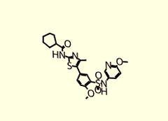 COc1ccc(NS(=O)(=O)c2cc(-c3sc(NC(=O)C4CCCCC4)nc3C)ccc2OC)cn1